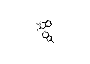 COC(=O)[C@H](c1ccccc1Cl)N1CCc2sc(C)cc2C1